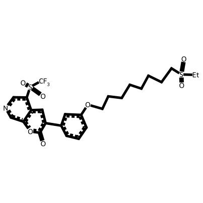 CCS(=O)(=O)CCCCCCCCOc1cccc(-c2cc3c(S(=O)(=O)C(F)(F)F)cncc3oc2=O)c1